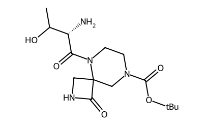 CC(O)[C@H](N)C(=O)N1CCN(C(=O)OC(C)(C)C)CC12CNC2=O